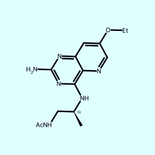 CCOc1cnc2c(N[C@@H](C)CNC(C)=O)nc(N)nc2c1